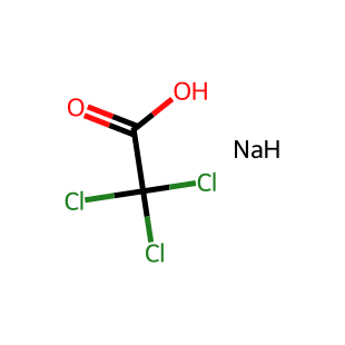 O=C(O)C(Cl)(Cl)Cl.[NaH]